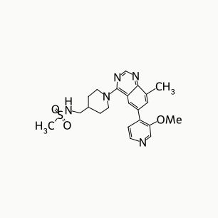 COc1cnccc1-c1cc(C)c2ncnc(N3CCC(CNS(C)(=O)=O)CC3)c2c1